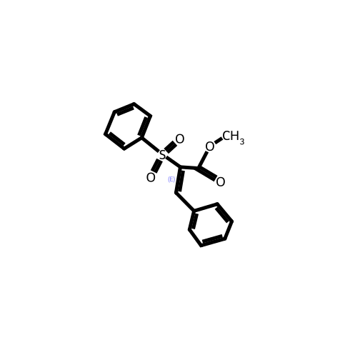 COC(=O)/C(=C\c1ccccc1)S(=O)(=O)c1ccccc1